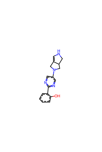 Oc1ccccc1-c1ncc(N2CC3=CNCC3C2)cn1